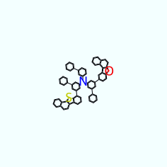 c1ccc(-c2cccc(N(c3cc(-c4ccccc4)cc(-c4ccc5oc6ccc7ccccc7c6c5c4)c3)c3cc(-c4ccccc4)cc(-c4cccc5c4sc4c6ccccc6ccc54)c3)c2)cc1